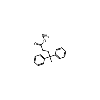 CC(CCC(=O)O[SiH3])(c1ccccc1)c1ccccc1